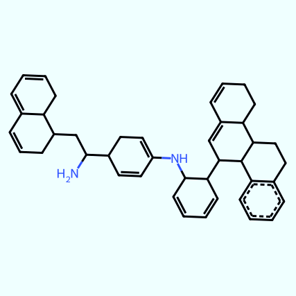 NC(CC1CC=CC2=CC=CCC21)C1C=CC(NC2C=CC=CC2C2C=C3C=CCCC3C3CCc4ccccc4C23)=CC1